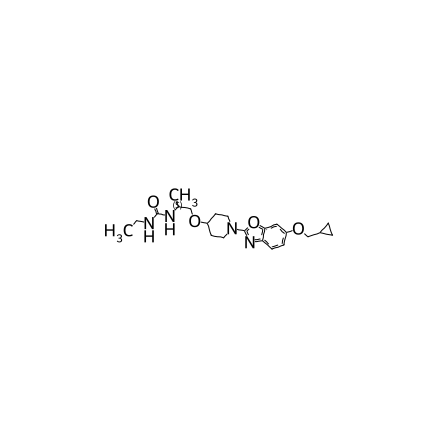 CCNC(=O)N[C@@H](C)COC1CCN(c2nc3ccc(OCC4CC4)cc3o2)CC1